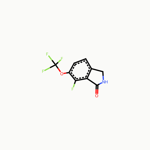 O=C1NCc2ccc(OC(F)(F)F)c(F)c21